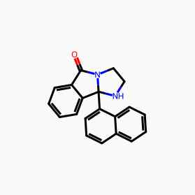 O=C1c2ccccc2C2(c3cccc4ccccc34)NCCN12